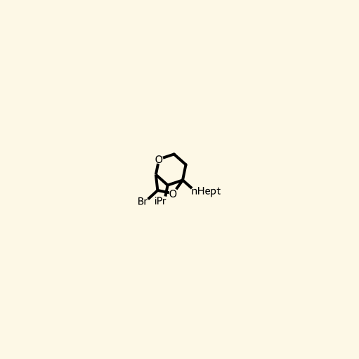 CCCCCCCC12CCOC(C(Br)O1)C2C(C)C